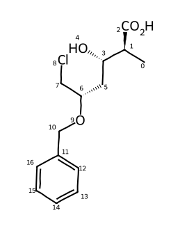 C[C@H](C(=O)O)[C@@H](O)C[C@@H](CCl)OCc1ccccc1